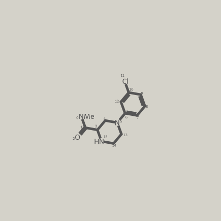 CNC(=O)C1CN(c2cccc(Cl)c2)CCN1